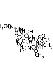 CCOc1cc(N2CCC(C(=O)N3CCN(Cc4ccc(-n5c(C(=O)NCCN6CCN(C)CC6)nnc5-c5cc(C(C)C)c(O)cc5O)cc4)CC3)CC2)ccc1Nc1ncc2c(n1)N(C)c1ccccc1C(=O)N2C